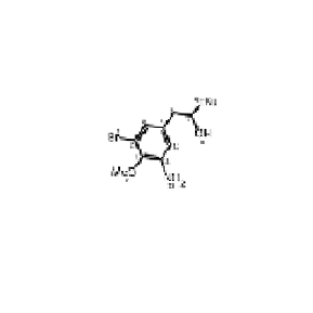 COc1c(Br)cc(CC(O)C(C)(C)C)cc1[N+](=O)[O-]